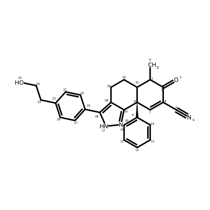 CC1C(=O)C(C#N)=C[C@]2(c3ccccc3)c3n[nH]c(-c4ccc(CCO)cc4)c3CCC12